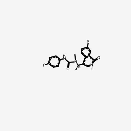 C[C@H](c1c[nH]c(=O)c2cc(F)ccc12)N(C)C(=O)Nc1ccc(F)cc1